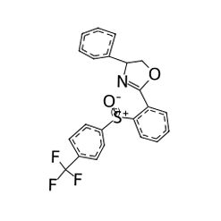 [O-][S@+](c1ccc(C(F)(F)F)cc1)c1ccccc1C1=NC(c2ccccc2)CO1